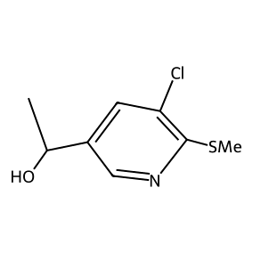 CSc1ncc(C(C)O)cc1Cl